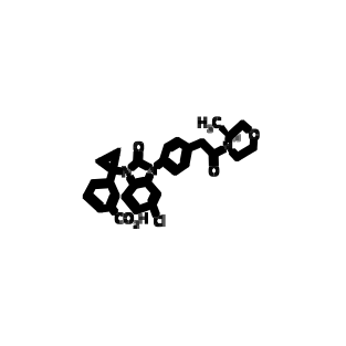 C[C@H]1COCCN1C(=O)Cc1ccc(-n2c(=O)n(C3(c4cccc(C(=O)O)c4)CC3)c3ccc(Cl)cc32)cc1